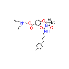 C=CCN(CC=C)CCOC(=O)c1ccc(O[C@@H]2N(C(=O)NCCCCc3ccc(C)cc3)C(=O)C2(CC)CC)cc1